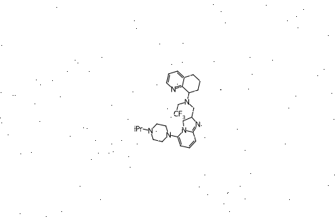 CC(C)N1CCN(C2=CC=CC3=NC(CN(CC(F)(F)F)C4CCCc5cccnc54)CN23)CC1